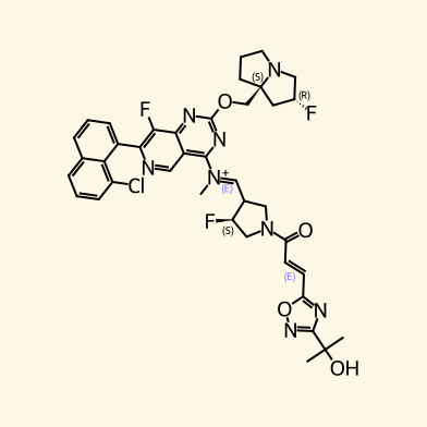 C/[N+](=C\C1CN(C(=O)/C=C/c2nc(C(C)(C)O)no2)C[C@H]1F)c1nc(OC[C@@]23CCCN2C[C@H](F)C3)nc2c(F)c(-c3cccc4cccc(Cl)c34)ncc12